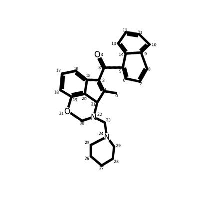 CC1=C(C(=O)c2cccc3ccccc23)c2cccc3c2C1N(CN1CCCCC1)CO3